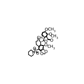 COc1ccc2c(c1OC)C(=O)OC2[C@H]1c2c(c(S(=O)(=O)N3CCCCC3)c3c(c2OC)OCO3)CCN1C